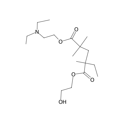 CCN(CC)CCOC(=O)C(C)(C)CC(C)(CC)C(=O)OCCO